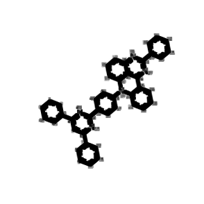 c1ccc(-c2cc(-c3ccccc3)nc(-c3ccc(N4c5ccccc5-c5nc(-c6ccccc6)nc6cccc4c56)cc3)n2)cc1